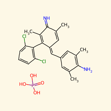 CC1=CC(=Cc2cc(C)c(N)c(C)c2)C(c2c(Cl)cccc2Cl)=C(C)C1=N.O=P(O)(O)O